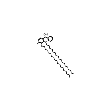 CCCCCCCCCCCCCCCCCCOc1c(C)ccc(C(O)c2ccccc2)c1OCCCCCCCCCCCCCCCCCC